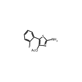 CC(=O)Oc1nc(N)sc1-c1ccccc1F